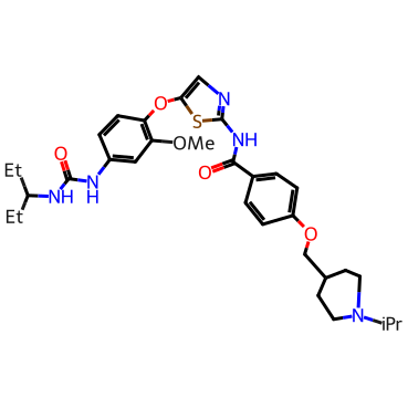 CCC(CC)NC(=O)Nc1ccc(Oc2cnc(NC(=O)c3ccc(OCC4CCN(C(C)C)CC4)cc3)s2)c(OC)c1